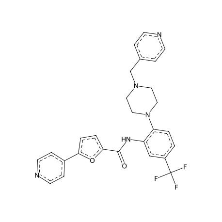 O=C(Nc1cc(C(F)(F)F)ccc1N1CCN(Cc2ccncc2)CC1)c1ccc(-c2ccncc2)o1